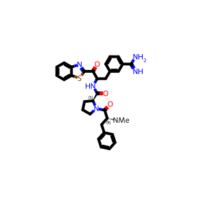 CN[C@H](Cc1ccccc1)C(=O)N1CCC[C@H]1C(=O)NC(Cc1cccc(C(=N)N)c1)C(=O)c1nc2ccccc2s1